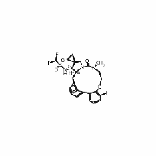 CN1CCOc2c(F)cccc2-c2cccc(c2F)C[C@H]2[C@@H](NS(=O)(=O)C(F)F)C3(CC3)CN2C1=O